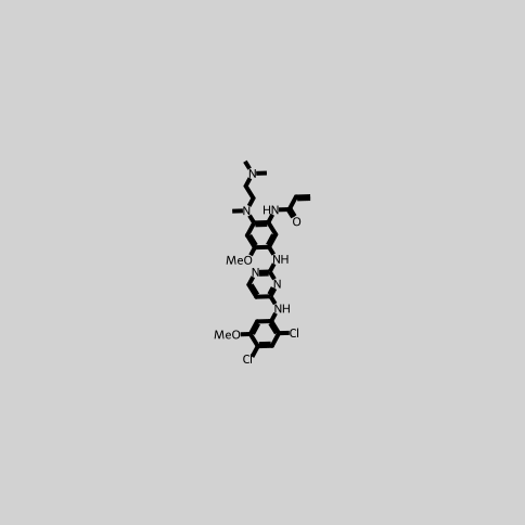 C=CC(=O)Nc1cc(Nc2nccc(Nc3cc(OC)c(Cl)cc3Cl)n2)c(OC)cc1N(C)CCN(C)C